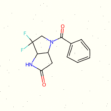 O=C1CC2C(N1)C(F)(F)CN2C(=O)c1ccccc1